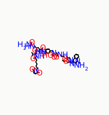 CCOCc1nc2c(N)nc3ccccc3c2n1CC(C)(C)OCCNC(=O)CN(Cc1ccc(NC(=O)C(CCCNC(N)=O)NC(=O)C(NC(=O)CCCCCN2C(=O)C=CC2=O)C(C)C)cc1)C(=O)O